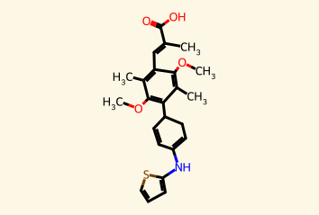 COc1c(C)c(C2C=CC(Nc3cccs3)=CC2)c(OC)c(C)c1/C=C(\C)C(=O)O